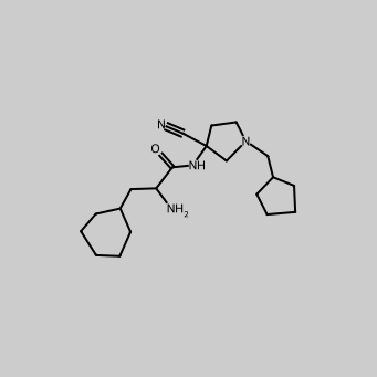 N#CC1(NC(=O)C(N)CC2CCCCC2)CCN(CC2CCCC2)C1